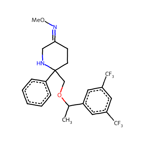 CO/N=C1/CCC(COC(C)c2cc(C(F)(F)F)cc(C(F)(F)F)c2)(c2ccccc2)NC1